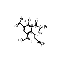 C#CCCc1c(C(N)=O)cc(C(N)=O)c(CC)c1C(=O)N(CCC)CCC